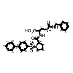 O=C(NCc1ccccc1)NCC(NC(=O)C1CCCN1S(=O)(=O)c1ccc(-c2ccccc2)cc1)C(=O)O